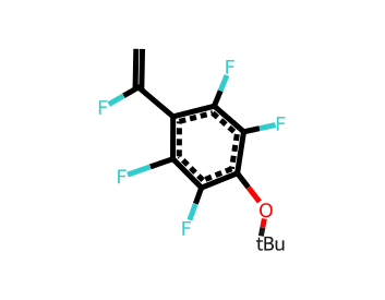 C=C(F)c1c(F)c(F)c(OC(C)(C)C)c(F)c1F